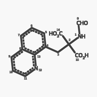 O=CNC(Cc1cccc2cccnc12)(C(=O)O)C(=O)O